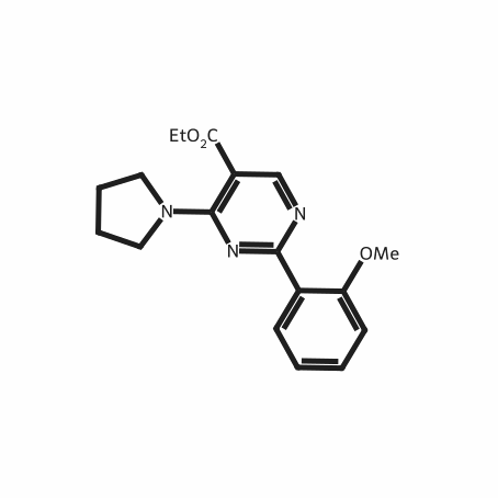 CCOC(=O)c1cnc(-c2ccccc2OC)nc1N1CCCC1